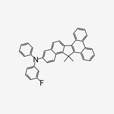 CC1(C)c2c(ccc3cc(N(c4ccccc4)c4cccc(F)c4)ccc23)-c2c1c1ccccc1c1ccccc21